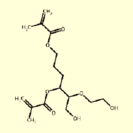 C=C(C)C(=O)OCCCC(OC(=O)C(=C)C)C(CO)OCCO